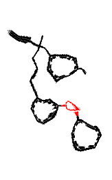 C#CC(C)(CCCc1cccc(Oc2ccccc2)c1)c1ccc(C)cc1